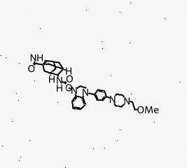 COCCN1CCN(c2ccc(N3CCN(OC(=O)NC4[C@@H]5CC6C[C@H]4CC(C(N)=O)(C6)C5)c4ccccc43)cc2)CC1